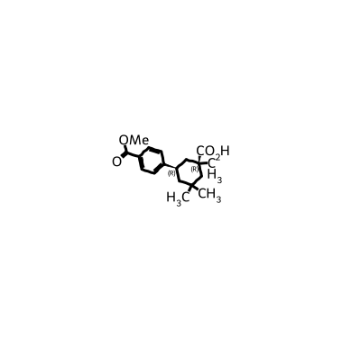 COC(=O)c1ccc([C@@H]2CC(C)(C)C[C@](C)(C(=O)O)C2)cc1